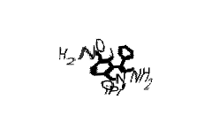 CC(C)Cn1c(CN)c(-c2ccccc2)c2c(I)c(C(N)=O)ccc2c1=O